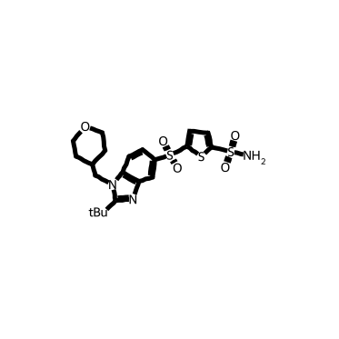 CC(C)(C)c1nc2cc(S(=O)(=O)c3ccc(S(N)(=O)=O)s3)ccc2n1CC1CCOCC1